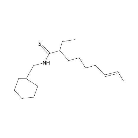 CC=CCCCCC(CC)C(=S)NCC1CCCCC1